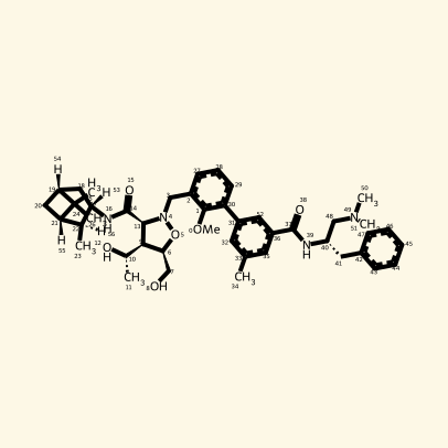 COc1c(CN2O[C@@H](CO)[C@@H]([C@H](C)O)[C@H]2C(=O)N[C@H]2C[C@H]3C[C@@H]([C@@H]2C)C3(C)C)cccc1-c1cc(C)cc(C(=O)N[C@@H](Cc2ccccc2)CN(C)C)c1